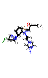 CC(=O)/C=C1\Sc2ccc(N3CC[C@@H](F)C3)cc2N1CCN1CCNCC1